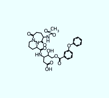 CS(=O)(=O)NC1CCC(=O)N2CCCC(C(=O)NC(CC(=O)O)C(O)COC(=O)c3cccc(Oc4ccccc4)c3)N2C1=O